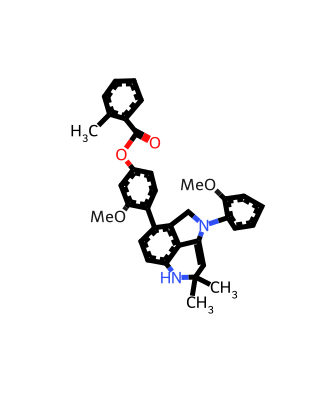 COc1cc(OC(=O)c2ccccc2C)ccc1-c1ccc2c3c1CN(c1ccccc1OC)C3=CC(C)(C)N2